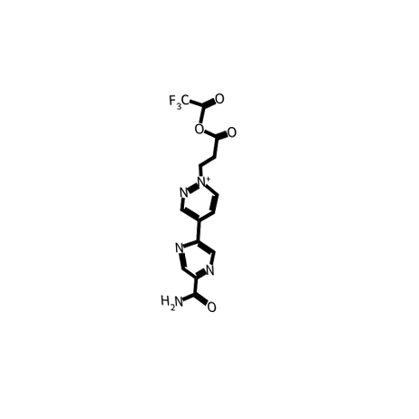 NC(=O)c1cnc(-c2cc[n+](CCC(=O)OC(=O)C(F)(F)F)nc2)cn1